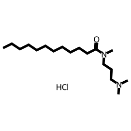 CCCCCCCCCCCC(=O)N(C)CCCN(C)C.Cl